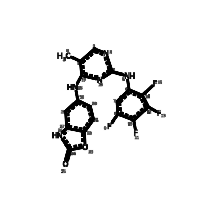 Cc1cnc(Nc2cc(F)c(F)c(F)c2F)nc1Nc1ccc2oc(=O)[nH]c2c1